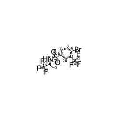 CC(NS(=O)(=O)c1ccc(Br)c(C(F)(F)F)c1)C(F)(F)F